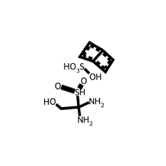 NC(N)(CO)[SH](=O)=O.O=S(=O)(O)O.c1cc2ccc1-2